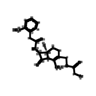 CC(=O)CC(=O)OCC1=C(C(=O)O)N2C(=O)[C@@H](NC(=O)Cc3ccccc3S(=O)(=O)O)[C@H]2SC1